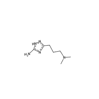 CN(C)CCCc1n[nH]c(N)n1